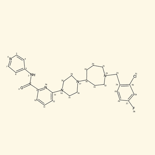 O=C(Nc1ccncc1)c1cccc(N2CCN(C3CCCN(Cc4ccc(F)cc4Cl)CC3)CC2)n1